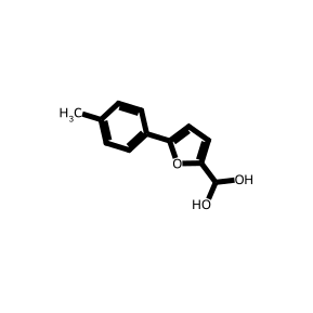 Cc1ccc(-c2ccc(C(O)O)o2)cc1